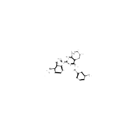 NC(=O)c1cccc2c1cnn2-c1nc2c(c(NCc3cccc(F)c3)n1)CCCN2